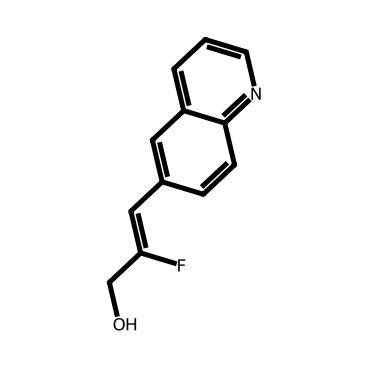 OC/C(F)=C/c1ccc2ncccc2c1